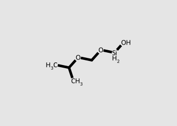 CC(C)OCO[SiH2]O